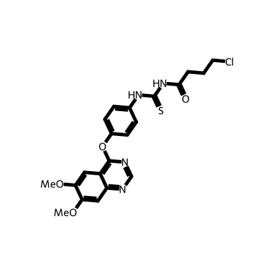 COc1cc2ncnc(Oc3ccc(NC(=S)NC(=O)CCCCl)cc3)c2cc1OC